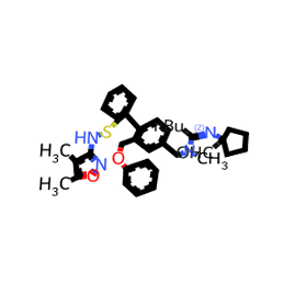 CCCC/C(=N/C1(C=O)CCCC1)N(C)Cc1ccc(-c2ccccc2SNc2noc(C)c2C)c(COc2ccccc2)c1